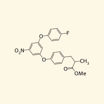 COC(=O)C(C)Cc1ccc(Oc2cc(Oc3ccc(F)cc3)cc([N+](=O)[O-])c2)cc1